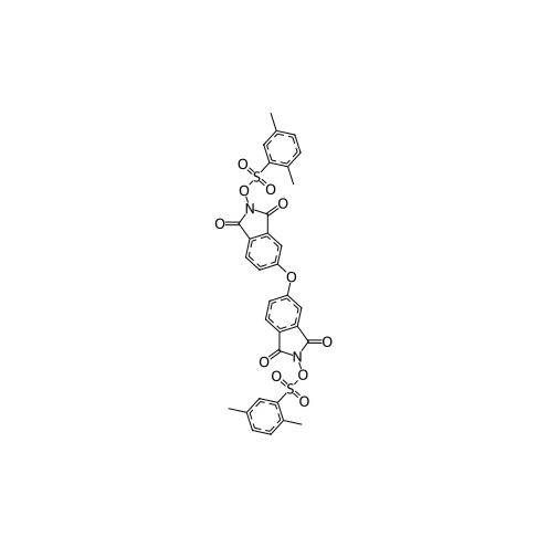 Cc1ccc(C)c(S(=O)(=O)ON2C(=O)c3ccc(Oc4ccc5c(c4)C(=O)N(OS(=O)(=O)c4cc(C)ccc4C)C5=O)cc3C2=O)c1